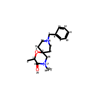 CC1OC2(CCN(Cc3ccccc3)CC2)CN(C(C)C)C1=O